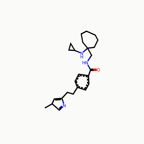 CC1C=NC(CCc2ccc(C(=O)NCC3(NC4CC4)CCCCCC3)cc2)=C1